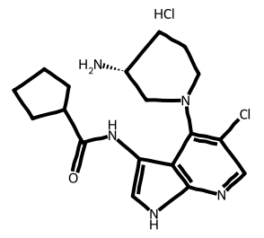 Cl.N[C@@H]1CCCN(c2c(Cl)cnc3[nH]cc(NC(=O)C4CCCC4)c23)C1